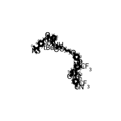 Cc1ncsc1-c1ccc(CNC(=O)[C@@H]2CCCN2C(=O)C(NC(=O)COCCCCOc2ccc(Oc3ncc(N4C(=S)N(c5ccc(C#N)c(C(F)(F)F)c5F)C(=O)C4(C)C)cc3C(F)(F)F)cc2)C(C)(C)C)cc1